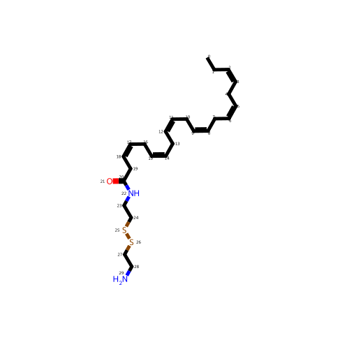 CC/C=C\C/C=C\C/C=C\C/C=C\C/C=C\C/C=C\CC(=O)NCCSSCCN